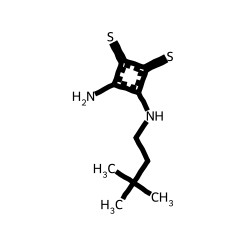 CC(C)(C)CCNc1c(N)c(=S)c1=S